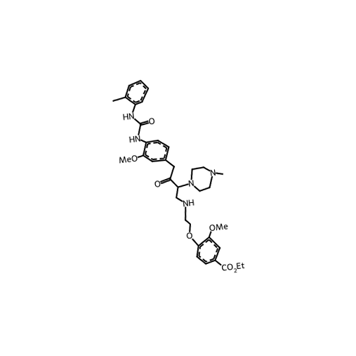 CCOC(=O)c1ccc(OCCNCC(C(=O)Cc2ccc(NC(=O)Nc3ccccc3C)c(OC)c2)N2CCN(C)CC2)c(OC)c1